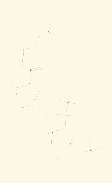 CC(C)=NOC(C)NC(=N)c1cc(OC[C@@H](CN(C)C(=O)OC(C)(C)C)O[Si](C)(C)C(C)(C)C)ccc1Cl